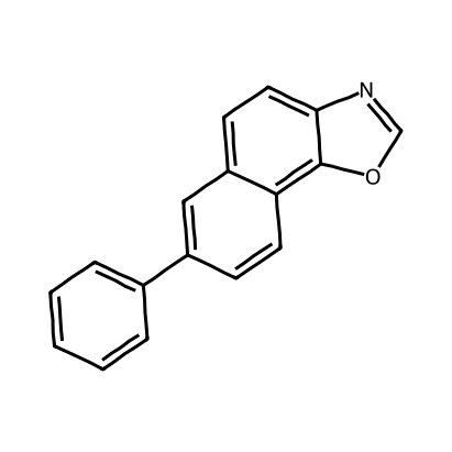 c1ccc(-c2ccc3c(ccc4ncoc43)c2)cc1